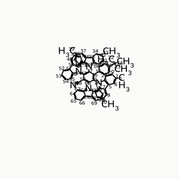 Cc1ccc2c(c1)c1cc(C)ccc1n2-c1c(-c2ccc(C(C)(C)C)cc2)c(-n2c3ccc(C)cc3c3cc(C)cnc32)c(-n2c3ccccc3c3ccccc32)c(C#N)c1-n1c2ccccc2c2ccccc21